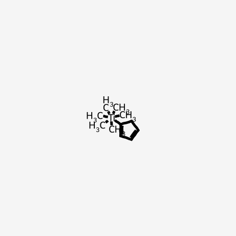 [CH3][Ti]([CH3])([CH3])([CH3])([CH3])([CH3])[C]1=CC=CC1